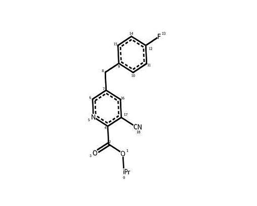 CC(C)OC(=O)c1ncc(Cc2ccc(F)cc2)cc1C#N